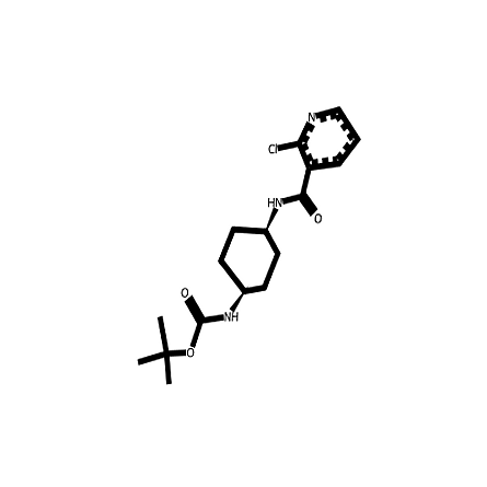 CC(C)(C)OC(=O)N[C@H]1CC[C@@H](NC(=O)c2cccnc2Cl)CC1